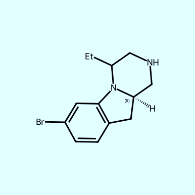 CCC1CNC[C@H]2Cc3ccc(Br)cc3N12